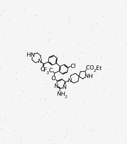 CCOC(=O)[C@@H]1CC2(CCN(c3cc(O[C@H](c4ccc(Cl)cc4-c4cccc(C(=O)N5CCNCC5)c4)C(F)(F)F)nc(N)n3)CC2)CN1